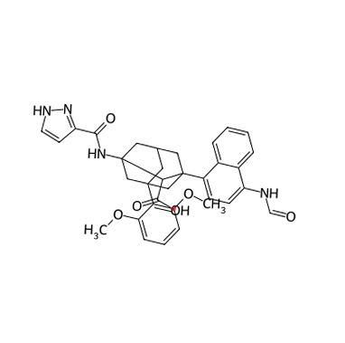 COc1cccc(OC)c1C12CC3CC(NC(=O)c4cc[nH]n4)(C1)C(C(=O)O)C(c1ccc(NC=O)c4ccccc14)(C3)C2